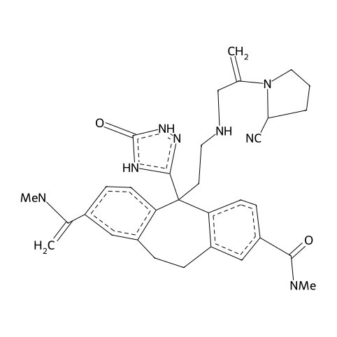 C=C(NC)c1ccc2c(c1)CCc1cc(C(=O)NC)ccc1C2(CCNCC(=C)N1CCCC1C#N)c1n[nH]c(=O)[nH]1